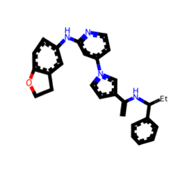 C=C(NC(CC)c1ccccc1)c1ccn(-c2ccnc(Nc3ccc4c(c3)CCO4)c2)c1